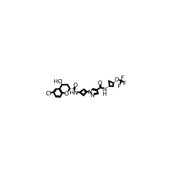 O=C(N[C@H]1C[C@@H](OC(F)(F)F)C1)c1cnn(C23CC(NC(=O)[C@H]4C[C@@H](O)c5cc(Cl)ccc5O4)(C2)C3)c1